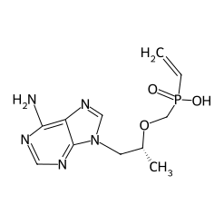 C=CP(=O)(O)CO[C@H](C)Cn1cnc2c(N)ncnc21